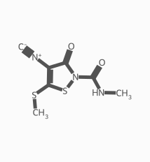 [C-]#[N+]c1c(SC)sn(C(=O)NC)c1=O